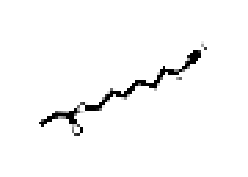 CCC(=O)OCCCCCCSC#N